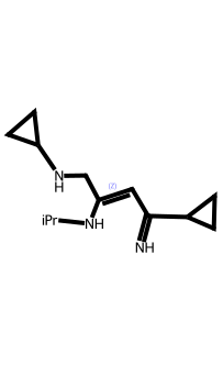 CC(C)N/C(=C\C(=N)C1CC1)CNC1CC1